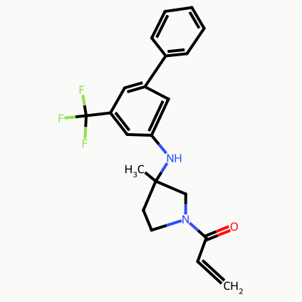 C=CC(=O)N1CCC(C)(Nc2cc(-c3ccccc3)cc(C(F)(F)F)c2)C1